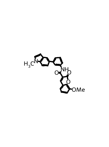 COc1cccc2cc(C(=O)Nc3cccc(-c4ccc5c(ccn5C)c4)c3)c(=O)oc12